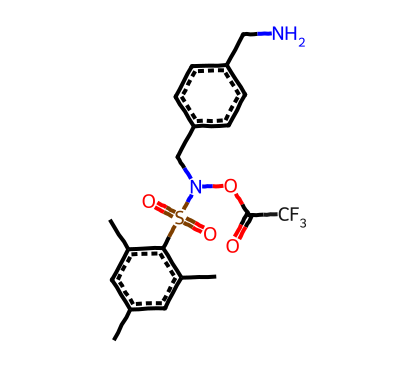 Cc1cc(C)c(S(=O)(=O)N(Cc2ccc(CN)cc2)OC(=O)C(F)(F)F)c(C)c1